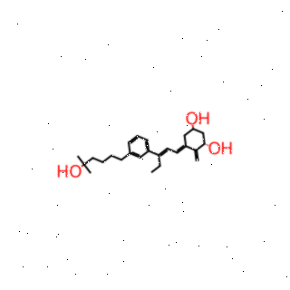 C=C1C(=C/C=C(\CC)c2cccc(CCCCC(C)(C)O)c2)C[C@@H](O)C[C@@H]1O